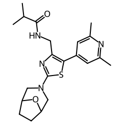 Cc1cc(-c2sc(N3CC4CCC(C3)O4)nc2CNC(=O)C(C)C)cc(C)n1